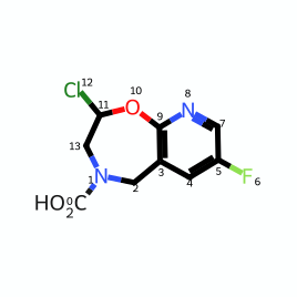 O=C(O)N1Cc2cc(F)cnc2OC(Cl)C1